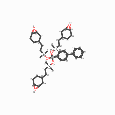 C[Si](C)(CCC1CCC2OC2C1)O[Si](O[Si](C)(C)CCC1CCC2OC2C1)(O[Si](C)(C)CCC1CCC2OC2C1)c1ccc(-c2ccccc2)cc1